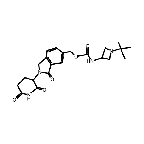 CC(C)(C)N1CC(NC(=O)OCc2ccc3c(c2)C(=O)N(C2CCC(=O)NC2=O)C3)C1